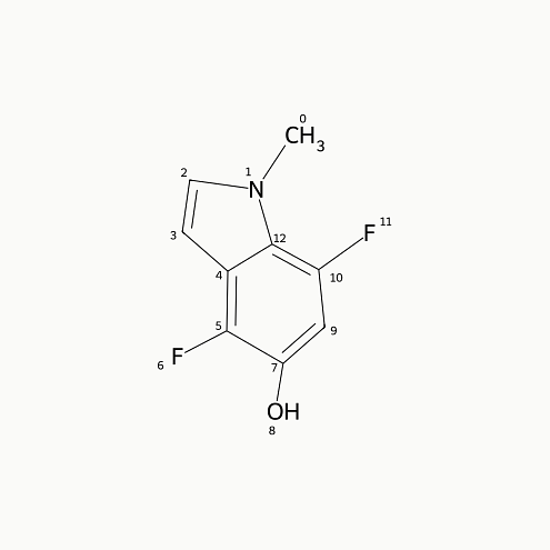 Cn1ccc2c(F)c(O)cc(F)c21